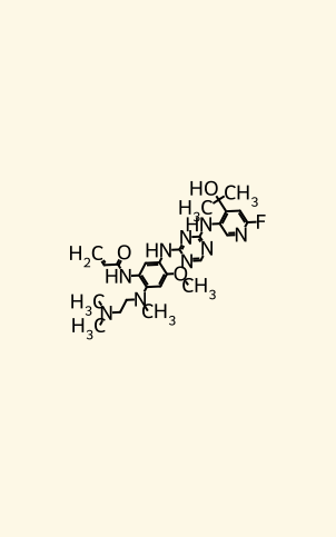 C=CC(=O)Nc1cc(Nc2ncnc(Nc3cnc(F)cc3C(C)(C)O)n2)c(OC)cc1N(C)CCN(C)C